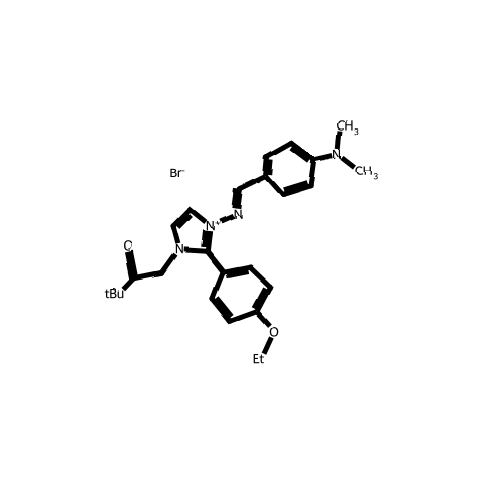 CCOc1ccc(-c2n(CC(=O)C(C)(C)C)cc[n+]2N=Cc2ccc(N(C)C)cc2)cc1.[Br-]